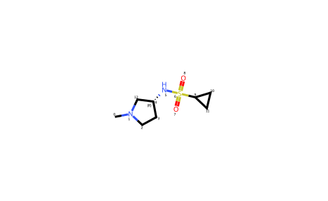 CN1CC[C@@H](NS(=O)(=O)C2CC2)C1